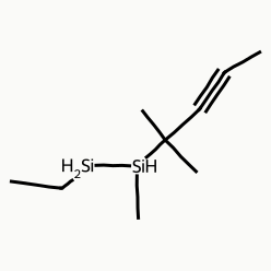 CC#CC(C)(C)[SiH](C)[SiH2]CC